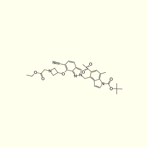 CCOC(=O)CN1CC(Oc2c(C#N)ccc3cn(Cc4c(S(C)(=O)=O)cc(C)c5c4ccn5C(=O)OC(C)(C)C)nc23)C1